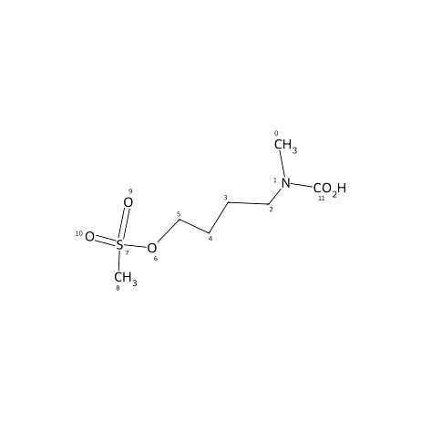 CN(CCCCOS(C)(=O)=O)C(=O)O